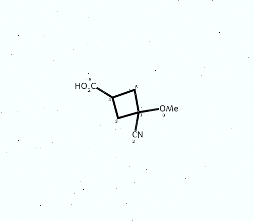 COC1(C#N)CC(C(=O)O)C1